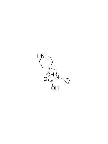 O=C(O)N(CC1(O)CCNCC1)C1CC1